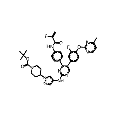 C=C(F)C(=O)Nc1ccc(-c2nc(Nc3cnn(C4CCN(C(=O)OC(C)(C)C)CC4)c3)ncc2-c2ccc(Oc3nccc(C)n3)c(F)c2)cc1